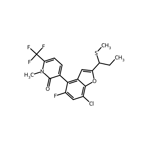 CCC(SC)c1cc2c(-c3ccc(C(F)(F)F)n(C)c3=O)c(F)cc(Cl)c2o1